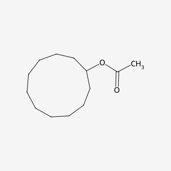 CC(=O)OC1CCCCCCCCCC1